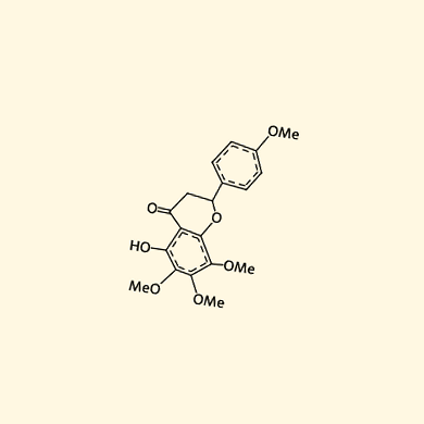 COc1ccc(C2CC(=O)c3c(O)c(OC)c(OC)c(OC)c3O2)cc1